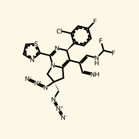 [N-]=[N+]=NC[C@@]1(N=[N+]=[N-])CC2=C(/C(C=N)=C/NC(F)F)[C@H](c3ccc(F)cc3Cl)N=C(c3nccs3)N2C1